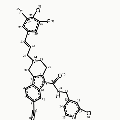 N#Cc1ccc2c3c(n(C(=O)NCc4ccnc(Cl)c4)c2c1)CCN(C/C=C/c1cc(F)c(Cl)c(F)c1)C3